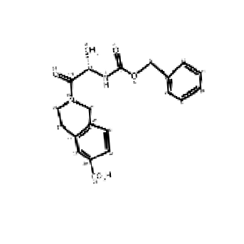 C[C@H](NC(=O)OCc1ccccc1)C(=O)N1CCc2cc(C(=O)O)ccc2C1